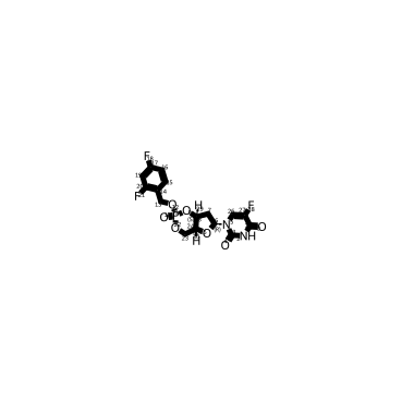 O=c1[nH]c(=O)n([C@H]2C[C@@H]3OP(=O)(OCc4ccc(F)cc4F)OC[C@H]3O2)cc1F